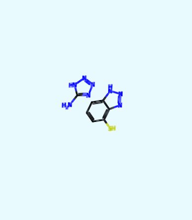 Nc1nnn[nH]1.Sc1cccc2[nH]nnc12